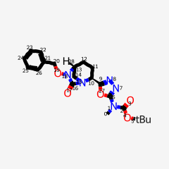 CN(C(=O)OC(C)(C)C)c1nnc([C@@H]2CC[C@@H]3CN2C(=O)N3OCc2ccccc2)o1